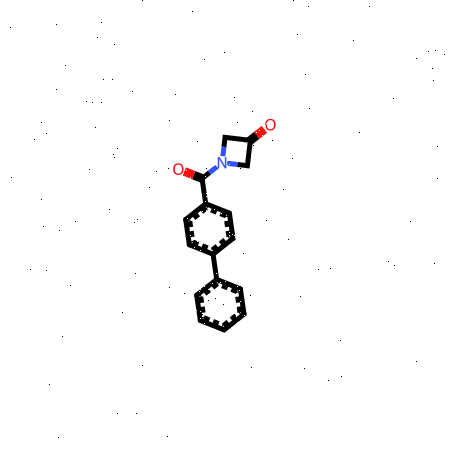 O=C1CN(C(=O)c2ccc(-c3ccccc3)cc2)C1